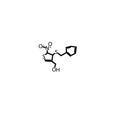 O=[N+]([O-])C1SC=C(CO)C1SCc1ccccc1